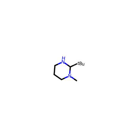 CN1CCCNC1C(C)(C)C